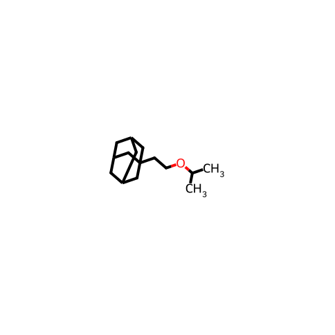 CC(C)OCCC12CC3CC(CC(C3)C1)C2